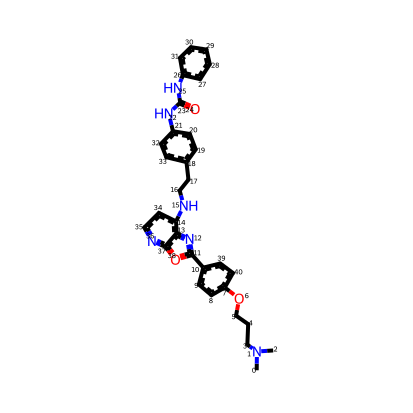 CN(C)CCCOc1ccc(-c2nc3c(NCCc4ccc(NC(=O)Nc5ccccc5)cc4)ccnc3o2)cc1